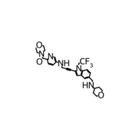 O=C(c1ccc(NCC#Cc2cc3cc(CNC4CCOCC4)ccc3n2CC(F)(F)F)cn1)N1CCOCC1